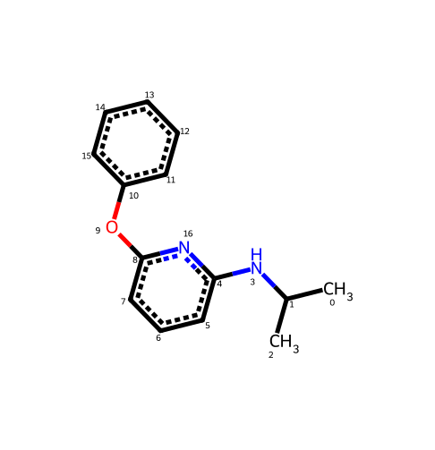 CC(C)Nc1cccc(Oc2ccccc2)n1